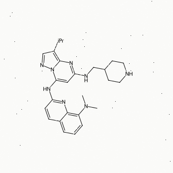 CC(C)c1cnn2c(Nc3ccc4cccc(N(C)C)c4n3)cc(NCC3CCNCC3)nc12